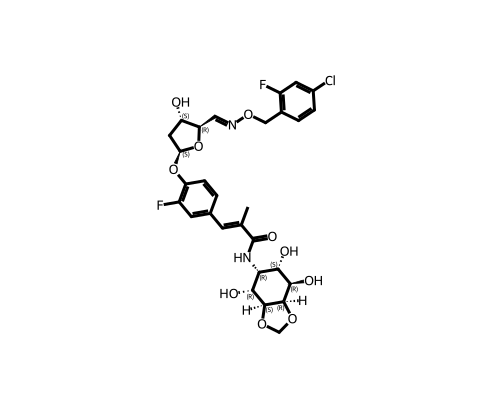 CC(=Cc1ccc(O[C@H]2C[C@H](O)[C@@H](C=NOCc3ccc(Cl)cc3F)O2)c(F)c1)C(=O)N[C@@H]1[C@H](O)[C@@H](O)[C@H]2OCO[C@H]2[C@@H]1O